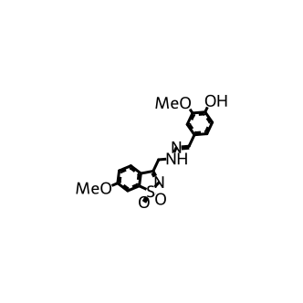 COc1ccc2c(c1)S(=O)(=O)N=C2CNN=Cc1ccc(O)c(OC)c1